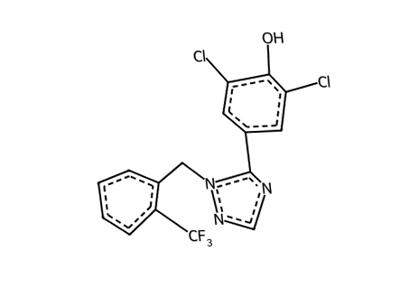 Oc1c(Cl)cc(-c2ncnn2Cc2ccccc2C(F)(F)F)cc1Cl